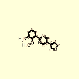 COc1c(N)cccc1-c1ncc(C2=CCOC2)cn1